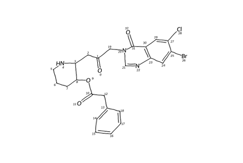 O=C(CC1NCCCC1OC(=O)Cc1ccccc1)Cn1cnc2cc(Br)c(Cl)cc2c1=O